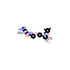 COC(=O)[C@H](Cc1c[nH]cn1)NC(=O)c1cccc(Oc2ccc(-c3cc(C(F)(F)F)c(C#N)c(=O)n3Cc3ccc(C)cc3C)cc2)c1